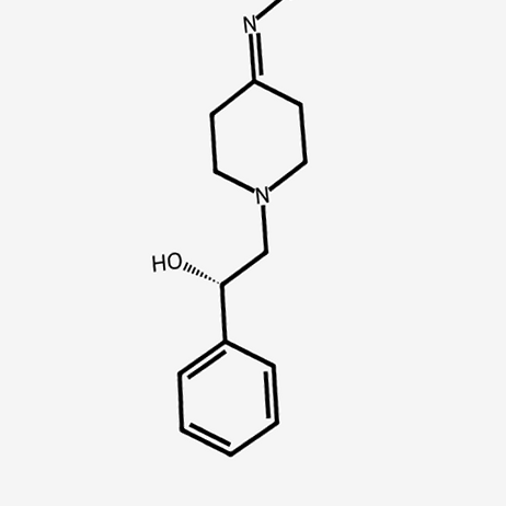 ON=C1CCN(C[C@@H](O)c2ccccc2)CC1